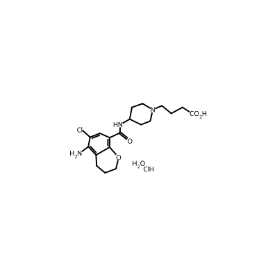 Cl.Nc1c(Cl)cc(C(=O)NC2CCN(CCCC(=O)O)CC2)c2c1CCCO2.O